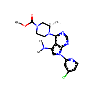 CCN(C(C)=O)c1cn(-c2cc(Cl)ccn2)c2ncnc(N3CCN(C(=O)OC(C)(C)C)C[C@@H]3C)c12